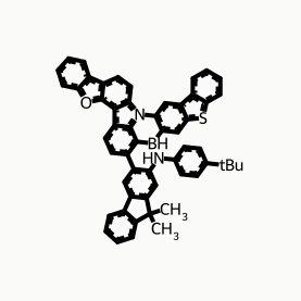 CC(C)(C)c1ccc(Nc2cc3c(cc2-c2ccc4c5c6oc7ccccc7c6ccc5n5c4c2Bc2cc4sc6ccccc6c4cc2-5)-c2ccccc2C3(C)C)cc1